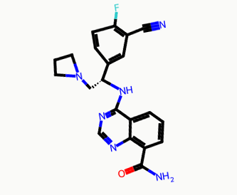 N#Cc1cc([C@@H](CN2CCC2)Nc2ncnc3c(C(N)=O)cccc23)ccc1F